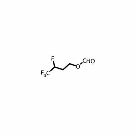 O=COCCC(F)C(F)(F)F